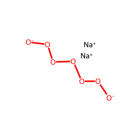 [Na+].[Na+].[O-]OOOOO[O-]